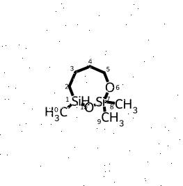 C[SiH]1CCCCO[Si](C)(C)O1